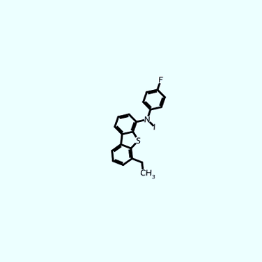 CCc1cccc2c1sc1c(N(I)c3ccc(F)cc3)cccc12